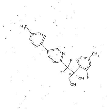 Cc1ccc(-c2ccc(C(F)(F)[C@](O)(CO)c3ccc(C)cc3F)nc2)cc1